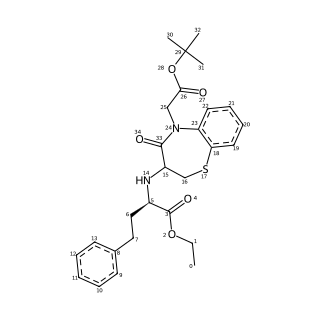 CCOC(=O)[C@@H](CCc1ccccc1)NC1CSc2ccccc2N(CC(=O)OC(C)(C)C)C1=O